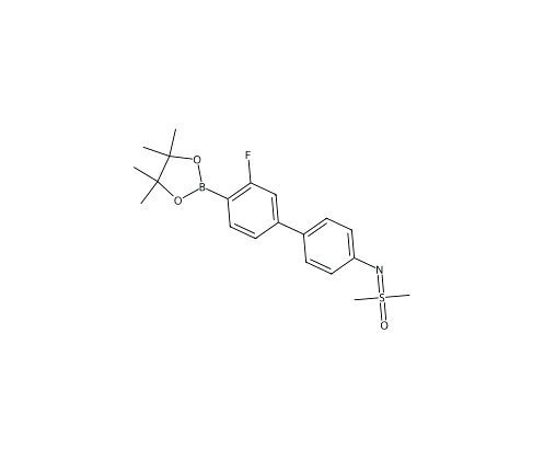 CC1(C)OB(c2ccc(-c3ccc(N=S(C)(C)=O)cc3)cc2F)OC1(C)C